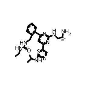 CCNC(=O)NCc1ccccc1-c1cc(-c2cnc(NC(C)C)s2)nc(NC[C@@H](C)N)n1